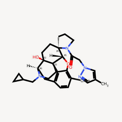 COc1ccc2c3c1O[C@H]1[C@@]4(CCCN4C(=O)Cn4cc(C)cn4)CC[C@@]4(O)[C@@H](C2)N(CC2CC2)CC[C@]314